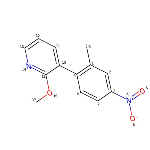 [CH2]c1cc([N+](=O)[O-])ccc1-c1cccnc1OC